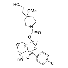 CCC[C@@H]1COC[C@H](C2(OC(=O)N3CCC(CCO)(OC)CC3)CC2)N1S(=O)(=O)c1ccc(Cl)cc1